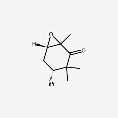 CC(C)[C@@H]1C[C@@H]2OC2(C)C(=O)C1(C)C